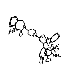 CC(C1CCCNC1)n1c(C(CC(=O)N2CCC(N3CCc4ccccc4NC3=O)CC2)Cc2cc(Cl)c(N)c(C(F)(F)F)c2)nc2ccccc21